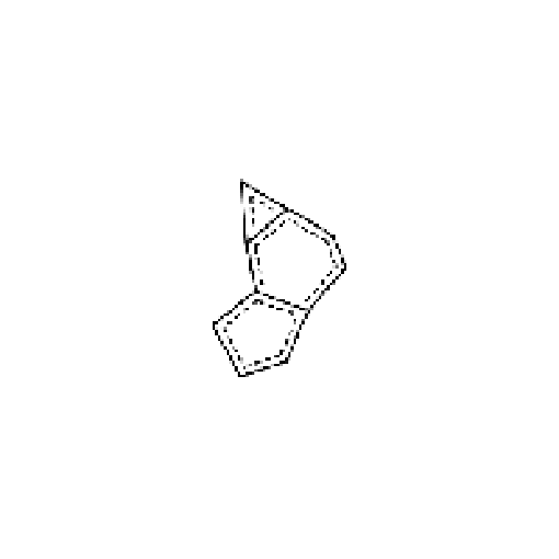 c1cc2ccc3cc3c2c1